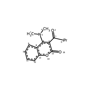 CC(C)C(=O)c1c(N(C)C)c2ccccc2oc1=O